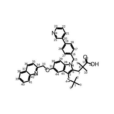 CC(C)(C)Sc1c(CC(C)(C)C(=O)O)n(Cc2ccc(-c3cccnc3)cc2)c2ccc(OCc3ccc4ccccc4n3)cc12